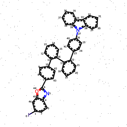 Ic1ccc2nc(-c3ccc(-c4ccccc4-c4ccccc4-c4ccc(-n5c6ccccc6c6ccccc65)cc4)cc3)oc2c1